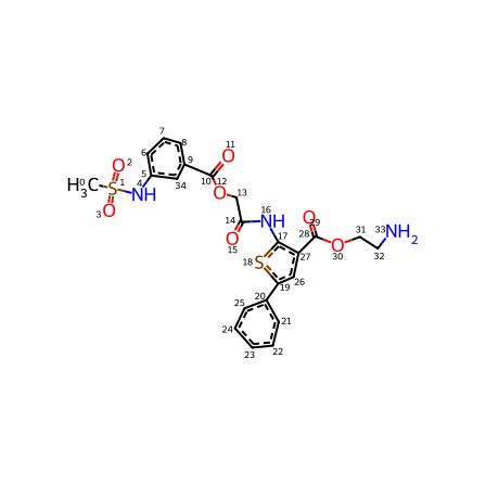 CS(=O)(=O)Nc1cccc(C(=O)OCC(=O)Nc2sc(-c3ccccc3)cc2C(=O)OCCN)c1